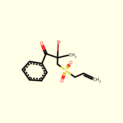 C=CCS(=O)(=O)CC(C)(Br)C(=O)c1ccccc1